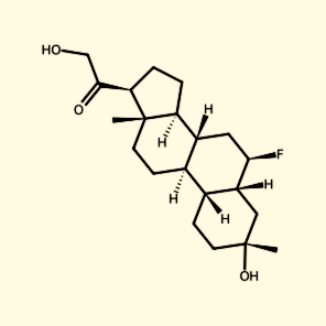 C[C@@]1(O)CC[C@@H]2[C@H]3CC[C@]4(C)[C@@H](C(=O)CO)CC[C@H]4[C@@H]3C[C@@H](F)[C@@H]2C1